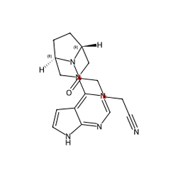 N#CCCCC(=O)N1[C@@H]2CC[C@@H]1CN(c1ncnc3[nH]ccc13)C2